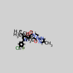 Cc1cnc(N2CCN(C(=O)c3cc4nc(-c5ccc(Cl)c(F)c5)cc(C(C)(C)C)c4o3)C(C)(C)C2=O)nc1